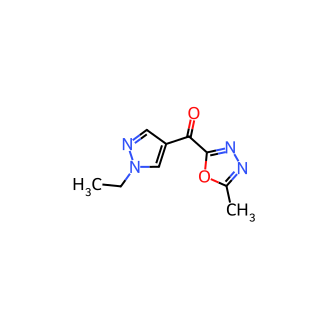 CCn1cc(C(=O)c2nnc(C)o2)cn1